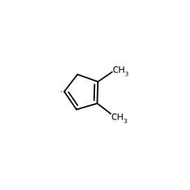 CC1=C(C)C[C]=C1